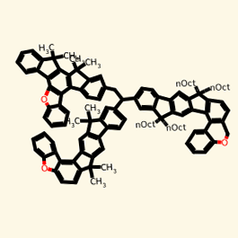 CCCCCCCCC1(CCCCCCCC)c2cc(C(Cc3ccc4c(c3)C(C)(C)c3c5c(c6oc7ccccc7c6c3-4)-c3ccccc3C5(C)C)c3ccc4c(c3)C(C)(C)c3cc5c(cc3-4)C(C)(C)c3ccc4oc6ccccc6c4c3-5)ccc2-c2cc3c(cc21)-c1c(ccc2c1-c1ccccc1OC2)C3(CCCCCCCC)CCCCCCCC